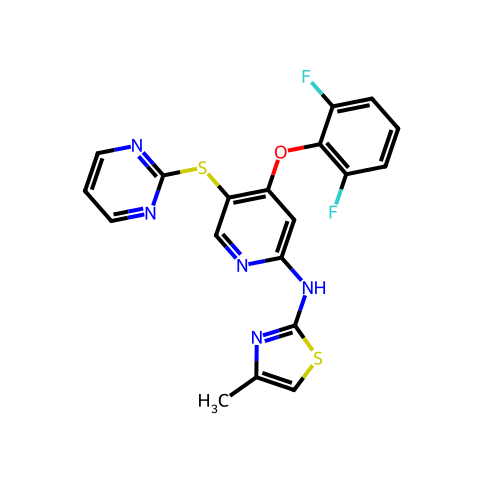 Cc1csc(Nc2cc(Oc3c(F)cccc3F)c(Sc3ncccn3)cn2)n1